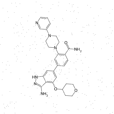 NC(=O)c1ccc(-c2cc(OC3CCOCC3)c3c(N)n[nH]c3c2)cc1N1CCN(c2cccnc2)CC1